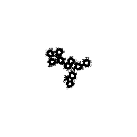 CC1(C)c2ccccc2-c2ccc(N(c3ccc(-c4ccccc4)cc3)c3ccc(-c4ccc([Si](c5ccccc5)(c5ccccc5)c5ccccc5)cc4)c4ccccc34)cc21